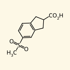 CS(=O)(=O)c1ccc2c(c1)CC(C(=O)O)C2